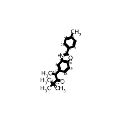 Cc1ccc(-c2nc3cc(C(C)C(=O)C(C)(C)C)ccc3o2)cc1